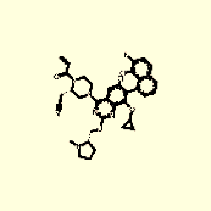 C=CC(=O)N1CCN(c2nc(OC[C@@H]3CCCN3C)nc3c(OC4CC4)c(-c4cccc5ccc(F)c(Cl)c45)c(Cl)cc23)C[C@@H]1CC#N